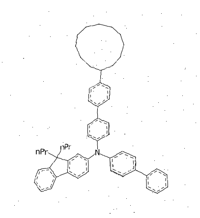 CCCC1(CCC)c2ccccc2-c2ccc(N(c3ccc(-c4ccccc4)cc3)c3ccc(-c4ccc(C5CCCCCCCCCCC5)cc4)cc3)cc21